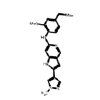 CNCc1ccc(Nc2cc3[nH]c(-c4cnn(C)c4)cc3cn2)c(OC)c1